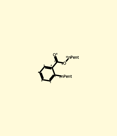 [CH2]CCCCc1ccccc1C(=O)OCCCCC